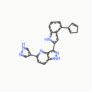 C1=CC(c2cccc3[nH]c(-c4n[nH]c5ccc(-c6cn[nH]c6)nc45)cc23)=CC1